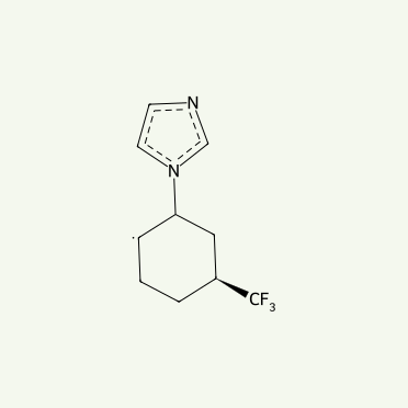 FC(F)(F)[C@H]1CC[CH]C(n2ccnc2)C1